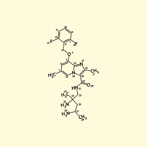 Cc1cc(OCc2c(F)cccc2F)c2nc(C)c(C(=O)NCC(C)(N)CC(C)N)n2c1